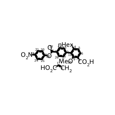 C=CC(=O)O.CCCCCCc1ccc(C(=O)O)c(OC)c1-c1ccc(C(=O)Oc2ccc([N+](=O)[O-])cc2)cc1